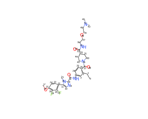 CCc1cc(NC(=O)c2ncc(-c3ccc(OC)c(F)c3F)n2C)ccc1C(=O)N1CCC(C(=O)NCCOCCN(C)C)CC1